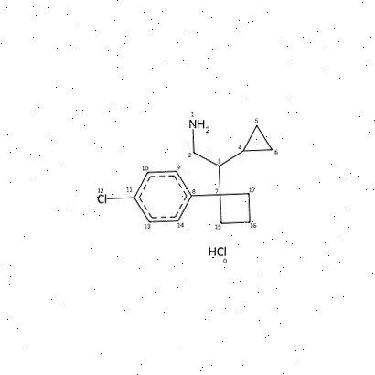 Cl.NCC(C1CC1)C1(c2ccc(Cl)cc2)CCC1